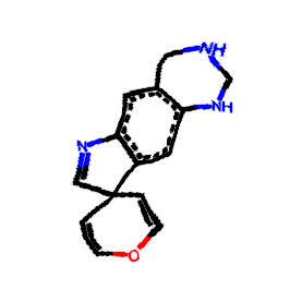 C1=CC2(C=CO1)C=Nc1cc3c(cc12)NCNC3